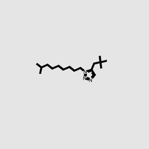 CC(C)CCCCCCCn1nncc1CC(C)(C)C